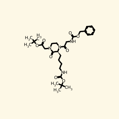 CC(C)(C)OC(=O)CN1CCN(C(=O)CNC(=O)OCc2ccccc2)[C@@H](CCCCNC(=O)OC(C)(C)C)C1=O